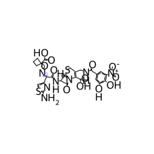 Nc1nc(/C(=N/OC2(C(=O)O)CCC2)C(=O)NC2C(=O)N3C(C(=O)O)=C(CNC(=O)c4cc(O)c(O)c([N+](=O)[O-])c4)CS[C@@H]23)cs1